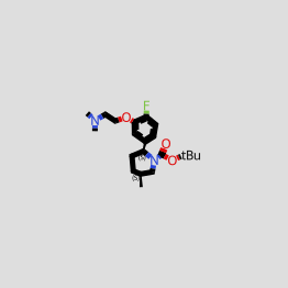 C[C@H]1CC[C@@H](c2ccc(F)c(OCCN(C)C)c2)N(C(=O)OC(C)(C)C)C1